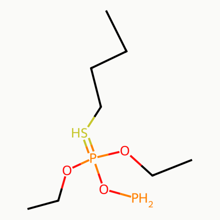 CCCC[SH]=P(OP)(OCC)OCC